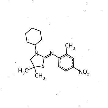 Cc1cc([N+](=O)[O-])ccc1N=C1SC(C)(C)CN1C1CCCCC1